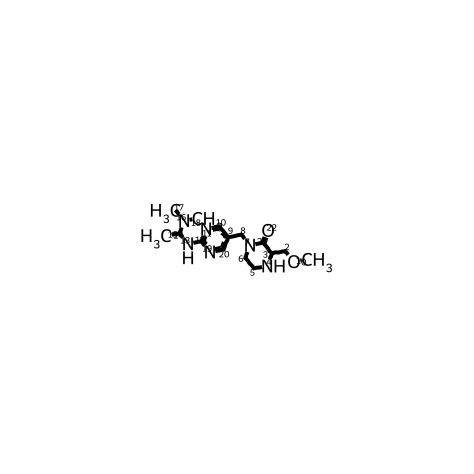 COCC1NCCN(Cc2cnc(NC(C)N(C)C)nc2)C1=O